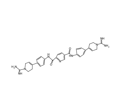 N=C(N)N1CC=C(c2ccc(NC(=O)c3ccc(C(=O)Nc4ccc(C5=CCN(C(=N)N)CC5)cc4)nc3)cc2)CC1